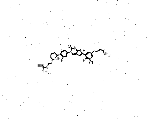 C[C@H](N)CCCc1cc(Cl)c(F)c(-c2cc3cn(-c4ccc([C@@H]5CCC[C@@H](CCSC(=N)N)N5)c(F)c4)c(=O)nc3[nH]2)c1